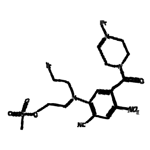 CC(C)N1CCN(C(=O)c2cc(N(CCBr)CCOS(C)(=O)=O)c(C#N)cc2[N+](=O)[O-])CC1